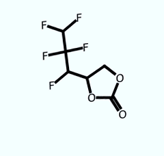 O=C1OCC(C(F)C(F)(F)C(F)F)O1